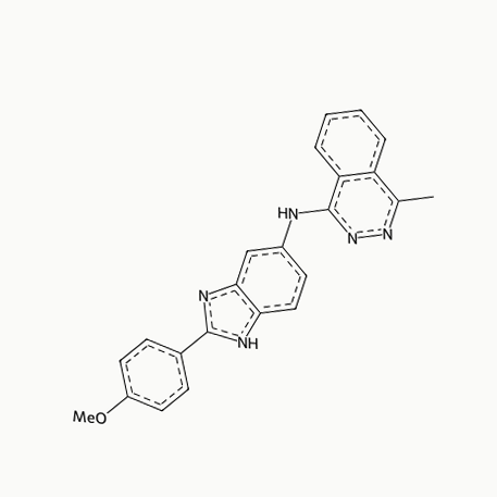 COc1ccc(-c2nc3cc(Nc4nnc(C)c5ccccc45)ccc3[nH]2)cc1